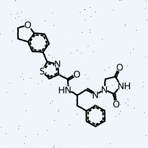 O=C1CN(/N=C/C(Cc2ccccc2)NC(=O)c2csc(-c3ccc4c(c3)CCO4)n2)C(=O)N1